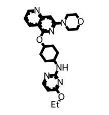 CCOc1ccnc(NC2CCC(Oc3nc(N4CCOCC4)cc4ncccc34)CC2)n1